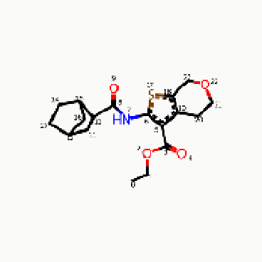 CCOC(=O)c1c(NC(=O)C2CC3CCC2C3)sc2c1CCOC2